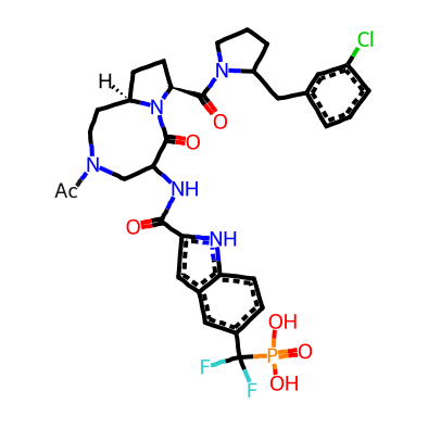 CC(=O)N1CC[C@H]2CC[C@@H](C(=O)N3CCCC3Cc3cccc(Cl)c3)N2C(=O)C(NC(=O)c2cc3cc(C(F)(F)P(=O)(O)O)ccc3[nH]2)C1